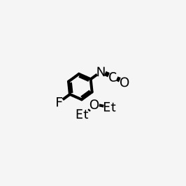 CCOCC.O=C=Nc1ccc(F)cc1